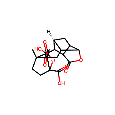 CC12CCC(C(=O)O)(OC1=O)C2(C)CC1C2OC(=O)C3C2C[C@@H]1C3C(=O)O